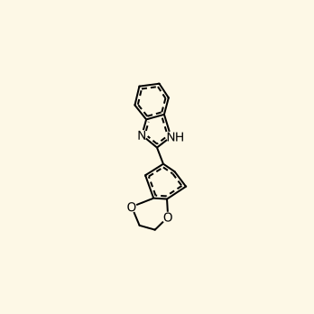 c1ccc2[nH]c(-c3ccc4c(c3)OCCO4)nc2c1